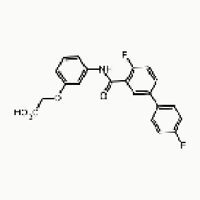 O=C(O)COc1cccc(NC(=O)c2cc(-c3ccc(F)cc3)ccc2F)c1